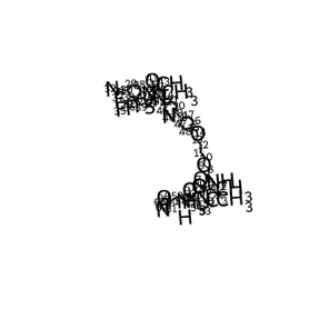 CC(C)(C)C(NC(=O)COCCCCOc1ccc(-c2ccc(N3C(=S)N(c4ccc(C#N)c(C(F)(F)F)c4F)C(=O)C3(C)C)cn2)cc1)C(=O)N1CCCC1C(=O)NCc1cnco1